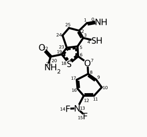 N=CC1=C(S)c2c(OC3=CCC=C(N(F)F)C=C3)sc(C(N)=O)c2CC1